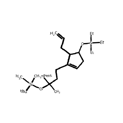 C=CCC1C(CCC(C)(CCCCC)O[Si](C)(C)C(C)(C)C)=CCC1O[Si](CC)(CC)CC